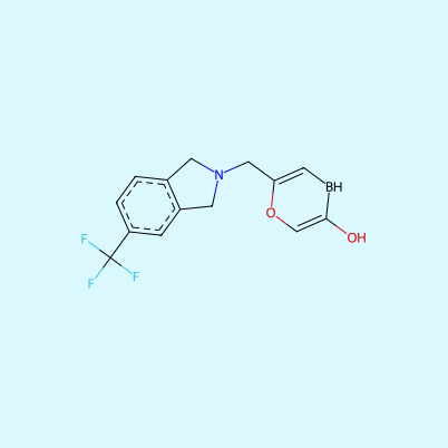 OC1=COC(CN2Cc3ccc(C(F)(F)F)cc3C2)=CB1